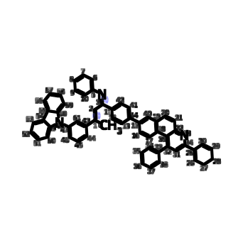 C/C(=C\C(=N/c1ccccc1)c1ccc(-c2ccc3c(ccc4nc(C5=CCCC=C5)cc(-c5ccccc5)c43)c2)cc1)c1cccc(-n2c3ccccc3c3ccccc32)c1